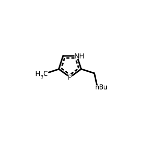 CCCCCc1[nH]cc(C)p1